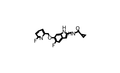 O=C(NCc1cc2cc(F)c(OCc3cccc(F)n3)cc2[nH]1)C1CC1